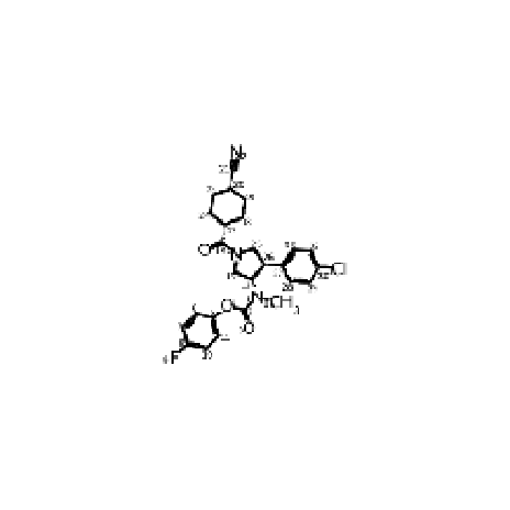 CN(C(=O)Oc1ccc(F)cc1)[C@@H]1CN(C(=O)[C@H]2CC[C@H](C#N)CC2)C[C@H]1c1ccc(Cl)cc1